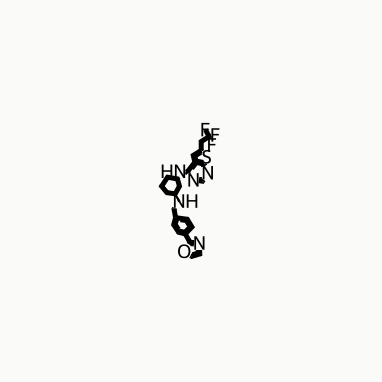 FC(F)(F)Cc1cc2c(N[C@@H]3CCC[C@H](NCc4ccc(-c5ncco5)cc4)C3)ncnc2s1